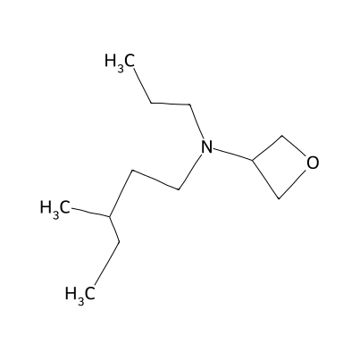 CCCN(CCC(C)CC)C1COC1